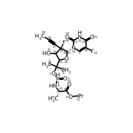 BC(B)(O[PH](=O)N[C@@H](C)C(=O)OC(C)C)C1O[C@@H](n2cc(F)c(=O)[nH]c2=O)[C@@](F)(C#CC)C1O